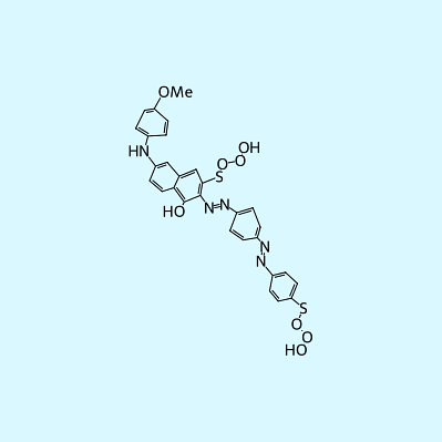 COc1ccc(Nc2ccc3c(O)c(N=Nc4ccc(N=Nc5ccc(SOOO)cc5)cc4)c(SOOO)cc3c2)cc1